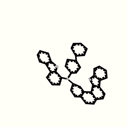 c1ccc(-c2ccc(N(c3ccc4ccc5ccc6c7ccccc7sc6c5c4c3)c3cccc4c3oc3ccccc34)cc2)cc1